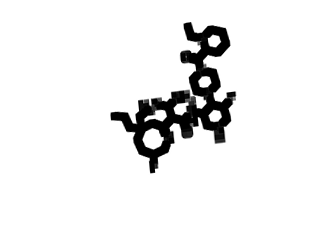 CCCC1(CC)CCC(F)C/N=C(/C(C(=O)NC2CNCC(F)C2N2CCN(C(=O)C3CCCCN3CC)CC2)C(N)N)C1